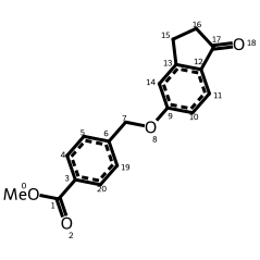 COC(=O)c1ccc(COc2ccc3c(c2)CCC3=O)cc1